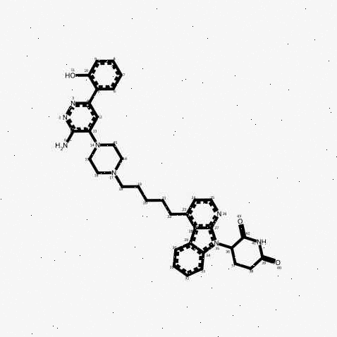 Nc1nnc(-c2ccccc2O)cc1N1CCN(CCCCCc2ccnc3c2c2ccccc2n3C2CCC(=O)NC2=O)CC1